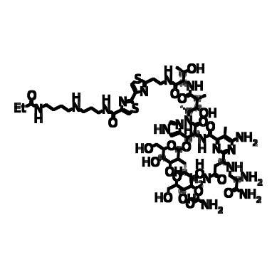 CCC(=O)NCCCCNCCCNC(=O)c1csc(-c2csc(CCNC(=O)[C@@H](NC(=O)[C@@H](C)[C@H](O)[C@@H](C)NC(=O)[C@@H](NC(=O)c3nc([C@H](CC(N)=O)NC[C@H](N)C(N)=O)nc(N)c3C)[C@@H](O[C@@H]3OC(CO)[C@@H](O)C(O)C3C[C@H]3OC(CO)[C@@H](O)C(OC(N)=O)[C@H]3O)c3c[nH]cn3)[C@@H](C)O)n2)n1